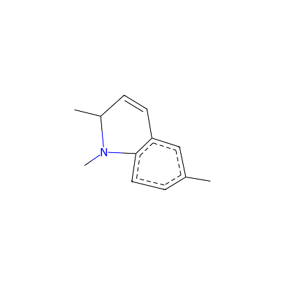 Cc1ccc2c(c1)C=CC(C)N2C